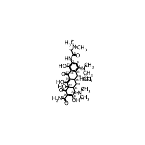 CN(C)CC(=O)Nc1cc(N(C)C)c2c(c1O)C(=O)C1=C(O)C3(O)C(=O)C(C(N)=O)=C(O)[C@@H](N(C)C)C3CC1C2.Cl.Cl